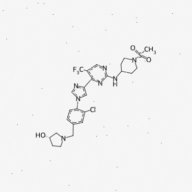 CS(=O)(=O)N1CCC(Nc2ncc(C(F)(F)F)c(-c3cn(-c4ccc(CN5CC[C@H](O)C5)cc4Cl)cn3)n2)CC1